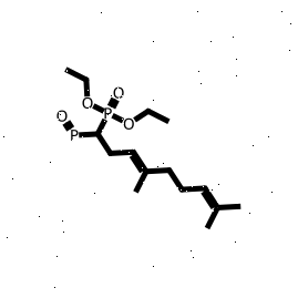 CCOP(=O)(OCC)C(C/C=C(\C)CCC=C(C)C)P=O